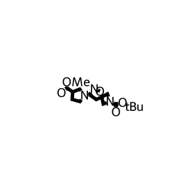 COC(=O)C1CCN(C2=NOC3(C2)CN(C(=O)OC(C)(C)C)C3)C1